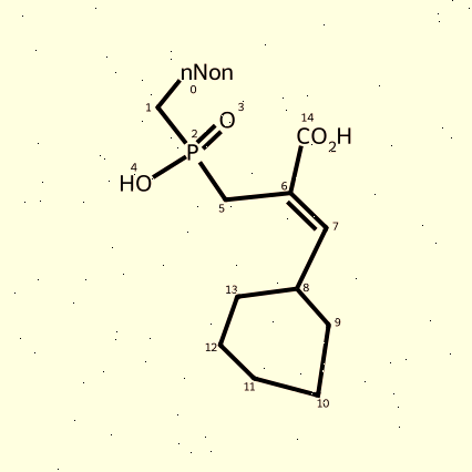 CCCCCCCCCCP(=O)(O)C/C(=C\C1CCCCC1)C(=O)O